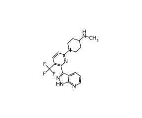 CNC1CCN(c2ccc(C(F)(F)F)c(-c3n[nH]c4ncccc34)n2)CC1